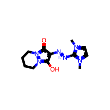 Cn1cc[n+](C)c1/N=N/c1c(O)n2n(c1=O)CCCC2